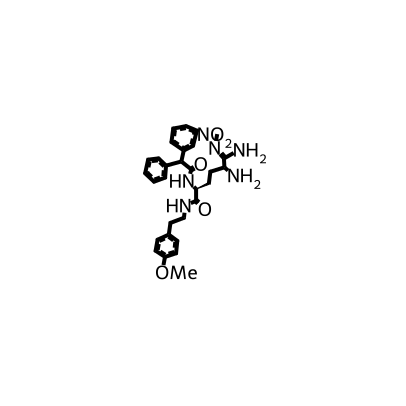 COc1ccc(CCNC(=O)[C@H](CCC(N)C(N)=N[N+](=O)[O-])NC(=O)C(c2ccccc2)c2ccccc2)cc1